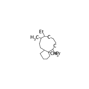 CCCC1CCCCC(CC)C(C)CCC2CCCCC12C